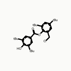 CC(C)(C)c1cc(CCl)c(OC(=O)c2cc(C(C)(C)C)c(O)c(C(C)(C)C)c2)c(C(C)(C)C)c1